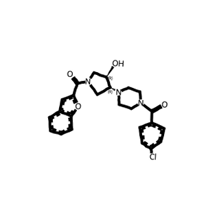 O=C(c1ccc(Cl)cc1)N1CCN([C@@H]2CN(C(=O)c3cc4ccccc4o3)C[C@H]2O)CC1